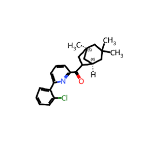 CC1(C)C[C@@H]2C[C@@](C)(CC2C(=O)c2cccc(-c3ccccc3Cl)n2)C1